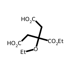 CCOC(=O)C(CC(=O)O)(CC(=O)O)OCC